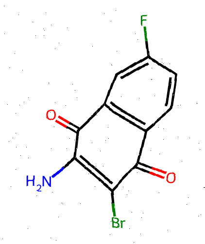 NC1=C(Br)C(=O)c2ccc(F)cc2C1=O